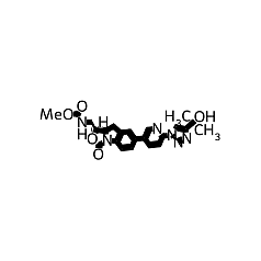 COC(=O)NC[C@@H]1OC(=O)N2c3ccc(-c4ccc(-n5cc(C(C)(C)O)nn5)nc4)cc3C[C@@H]12